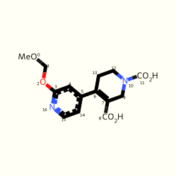 COCOc1cc(C2=C(C(=O)O)CN(C(=O)O)CC2)ccn1